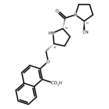 N#C[C@@H]1CCCN1C(=O)[C@@H]1CC[C@H](COc2ccc3ccccc3c2C(=O)O)N1